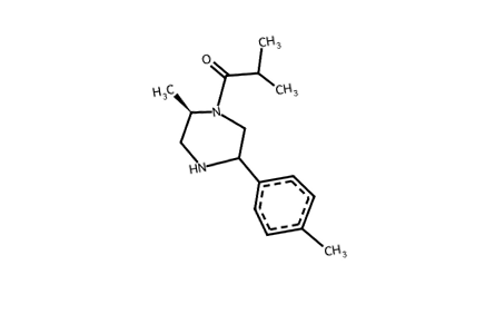 Cc1ccc(C2CN(C(=O)C(C)C)[C@H](C)CN2)cc1